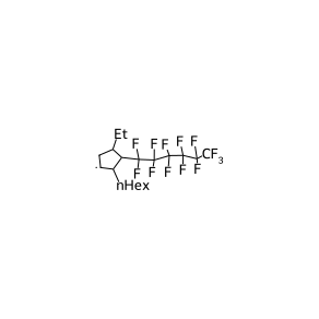 [CH2]CC1C[CH]C(CCCCCC)C1C(F)(F)C(F)(F)C(F)(F)C(F)(F)C(F)(F)C(F)(F)F